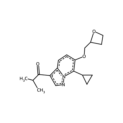 CC(C)C(=O)c1cnn2c(C3CC3)c(OCC3CCO3)ccc12